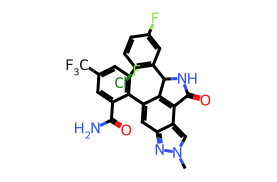 Cn1cc2c3c(c(-c4c(F)cc(C(F)(F)F)cc4C(N)=O)cc2n1)C(c1cc(F)ccc1Cl)NC3=O